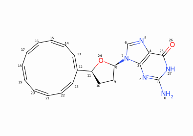 Nc1nc2c(ncn2[C@H]2CC[C@@H](C3=C/C=C\C=C/C=C\C=C/C=C\3)O2)c(=O)[nH]1